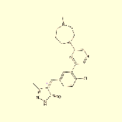 CC1=NNC(=O)/C1=C\c1ccc(Cl)c(-c2cncc(N3CCCN(C)CC3)n2)c1